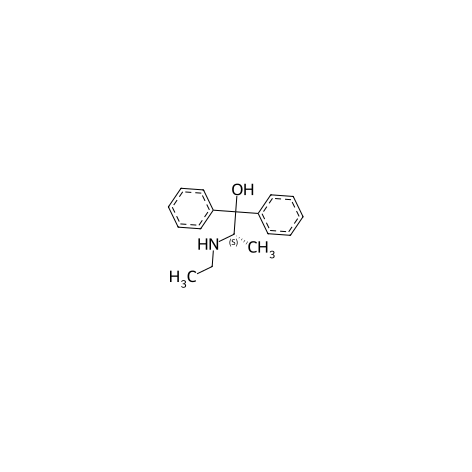 CCN[C@@H](C)C(O)(c1ccccc1)c1ccccc1